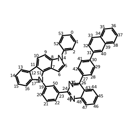 c1ccc(-n2ccc3c2ccc2c4ccccc4n(-c4cccc(-c5nc(-c6ccc(-c7ccc8ccccc8c7)cc6)c6ccccc6n5)c4)c23)cc1